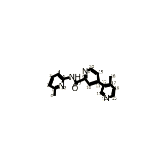 Cc1cccc(NC(=O)c2cc(-c3cnccc3C)ccn2)n1